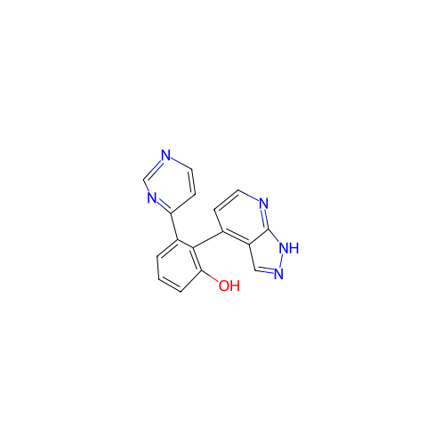 Oc1cccc(-c2ccncn2)c1-c1ccnc2[nH]ncc12